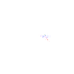 CCCCCCCCCCCCCCCC(=O)Nc1ccc(Cl)c(NC(=CC(=O)OCC)OCC)c1